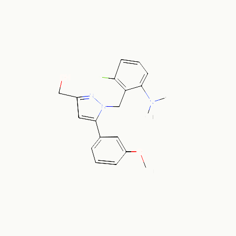 COc1cccc(-c2cc(CO)nn2Cc2c(F)cccc2N(C)C)c1